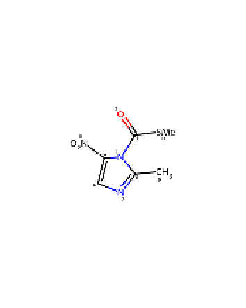 CSC(=O)n1c([N+](=O)[O-])cnc1C